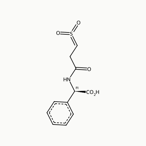 O=C(CC=S(=O)=O)N[C@@H](C(=O)O)c1ccccc1